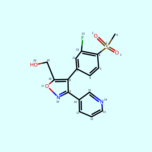 CS(=O)(=O)c1ccc(-c2c(-c3cccnc3)noc2CO)cc1F